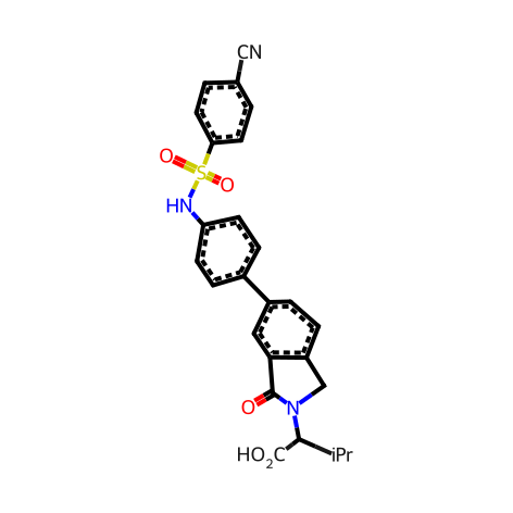 CC(C)C(C(=O)O)N1Cc2ccc(-c3ccc(NS(=O)(=O)c4ccc(C#N)cc4)cc3)cc2C1=O